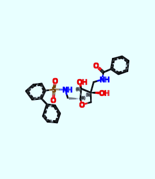 O=C(NC[C@]1(O)CO[C@H](CNS(=O)(=O)c2ccccc2-c2ccccc2)[C@H]1O)c1ccccc1